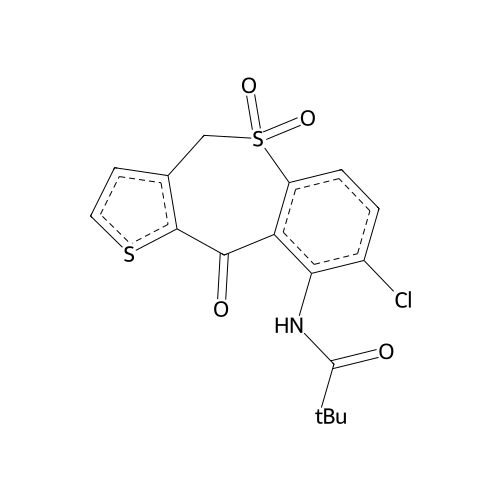 CC(C)(C)C(=O)Nc1c(Cl)ccc2c1C(=O)c1sccc1CS2(=O)=O